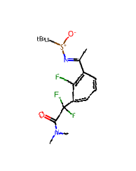 CC(=N[S+]([O-])C(C)(C)C)c1cccc(C(F)(F)C(=O)N(C)C)c1F